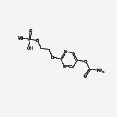 NC(=O)Oc1cnc(OCCOP(=O)(O)O)nc1